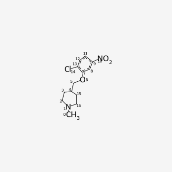 CN1CCC(COc2cc([N+](=O)[O-])ccc2Cl)CC1